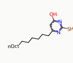 CCCCCCCCCCCCCCc1cc(O)nc(S)n1